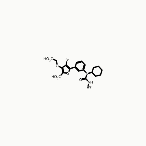 CC(C)NC(=O)N(c1cccc(-c2sc(C(=O)O)c(OCC(=O)O)c2Br)c1)C1CCCCC1